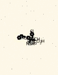 CC(C)(C)C(=O)c1c(CC(C)(C)C(=O)O)n(Cc2ccc(Cl)cc2)c2ccc(OCc3ccc4ccccc4n3)cc12.[NaH]